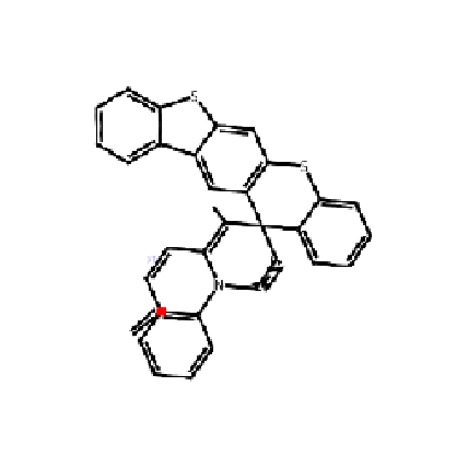 C=C/C=C\C1=C(C)C2(c3ccccc3Sc3cc4sc5ccccc5c4cc32)c2ccccc2N1c1ccccc1